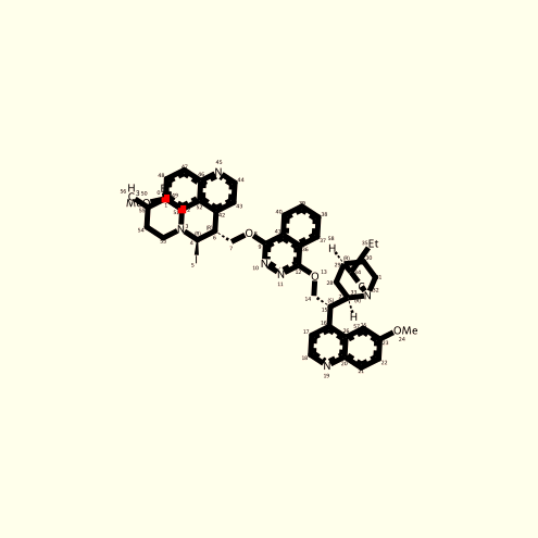 CCC1CN([C@H](I)[C@@H](COc2nnc(OC[C@@H](c3ccnc4ccc(OC)cc34)[C@H]3C[C@H]4CCN3CC4CC)c3ccccc23)c2ccnc3ccc(OC)cc23)CCC1C